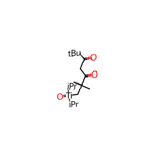 C[CH](C)[Ti](=[O])([CH2]C(C)(C)C(=O)CC(=O)C(C)(C)C)[CH](C)C